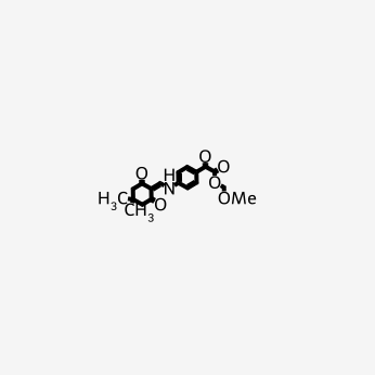 COCOC(=O)C(=O)c1ccc(NC=C2C(=O)CC(C)(C)CC2=O)cc1